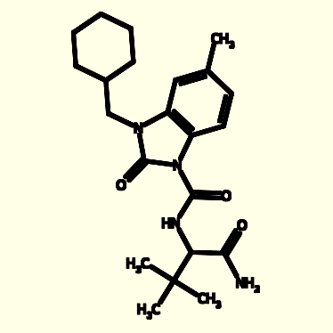 Cc1ccc2c(c1)n(CC1CCCCC1)c(=O)n2C(=O)NC(C(N)=O)C(C)(C)C